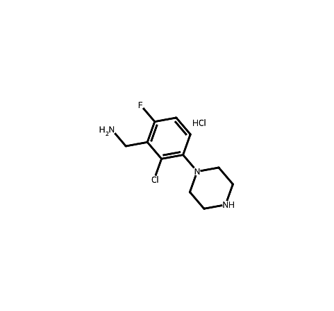 Cl.NCc1c(F)ccc(N2CCNCC2)c1Cl